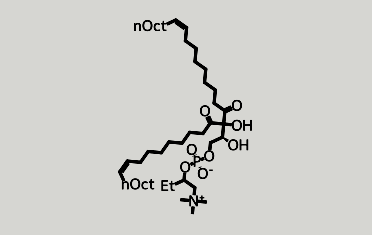 CCCCCCCC/C=C\CCCCCCCC(=O)C(O)(C(=O)CCCCCCC/C=C\CCCCCCCC)[C@@H](O)COP(=O)([O-])OC(CC)C[N+](C)(C)C